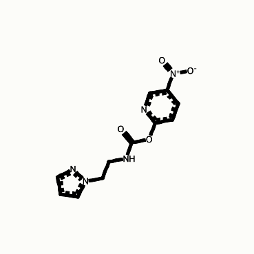 O=C(NCCn1cccn1)Oc1ccc([N+](=O)[O-])cn1